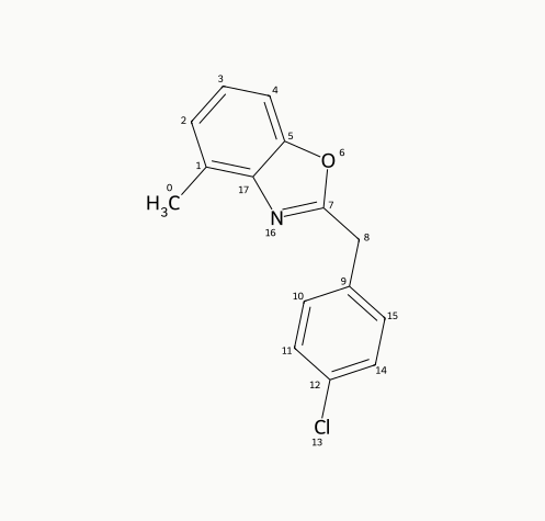 Cc1cccc2oc(Cc3ccc(Cl)cc3)nc12